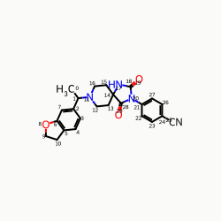 CC(c1ccc2c(c1)OCC2)N1CCC2(CC1)NC(=O)N(c1ccc(C#N)cc1)C2=O